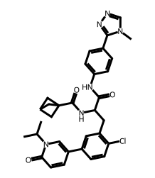 CC(C)n1cc(-c2ccc(Cl)c(CC(NC(=O)C34CC(C3)C4)C(=O)Nc3ccc(-c4nncn4C)cc3)c2)ccc1=O